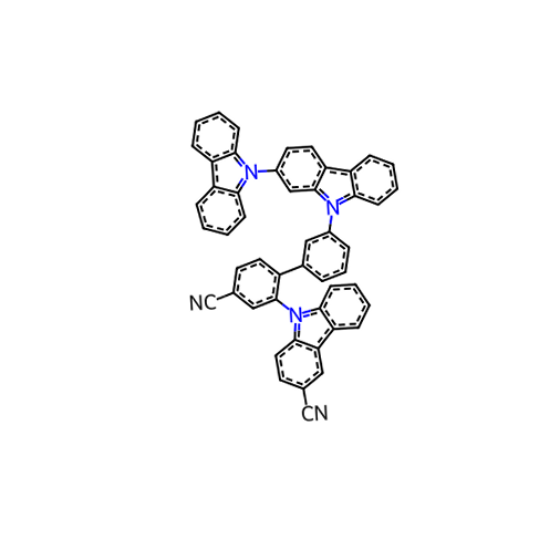 N#Cc1ccc(-c2cccc(-n3c4ccccc4c4ccc(-n5c6ccccc6c6ccccc65)cc43)c2)c(-n2c3ccccc3c3cc(C#N)ccc32)c1